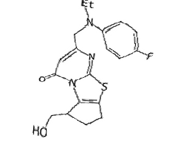 CCN(Cc1cc(=O)n2c3c(sc2n1)CCC3CO)c1ccc(F)cc1